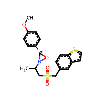 COc1ccc([C@@H]2ON2C(C)CS(=O)(=O)Cc2ccc3sccc3c2)cc1